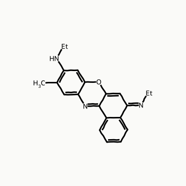 CC/N=c1\cc2oc3cc(NCC)c(C)cc3nc-2c2ccccc12